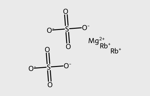 O=S(=O)([O-])[O-].O=S(=O)([O-])[O-].[Mg+2].[Rb+].[Rb+]